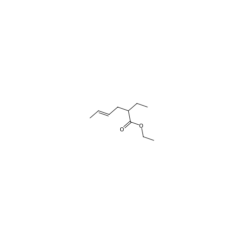 CC=CCC(CC)C(=O)OCC